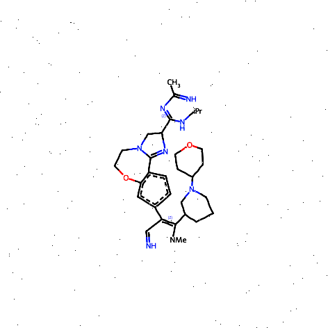 CN/C(=C(\C=N)c1ccc2c(c1)OCCN1CC(/C(=N/C(C)=N)NC(C)C)N=C21)C1CCCN(C2CCOCC2)C1